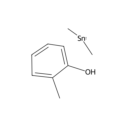 Cc1ccccc1O.[CH3][Sn][CH3]